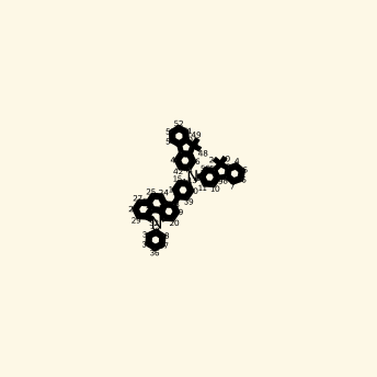 CC1(C)c2ccccc2-c2ccc(N(c3ccc(-c4ccc5c6c4ccc4cccc(c46)n5-c4ccccc4)cc3)c3ccc4c(c3)C(C)(C)c3ccccc3-4)cc21